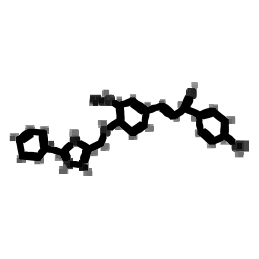 COc1cc(/C=C/C(=O)c2ccc(O)cc2)ccc1OCc1nnc(-c2ccccc2)o1